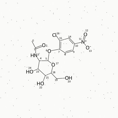 CC(=O)NC1C(Oc2ccc([N+](=O)[O-])cc2Cl)OC(CO)C(O)C1O